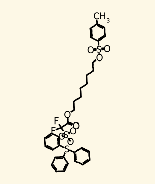 Cc1ccc(S(=O)(=O)OCCCCCCCCOC(=O)C(F)(F)S(=O)(=O)OS(c2ccccc2)(c2ccccc2)c2ccccc2)cc1